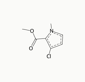 COC(=O)c1c(Cl)ccn1C